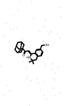 CC1(C)Cc2ccc(CO)cc2C(=CC(=O)C23CC4CC(CC(C4)C2)C3)N1